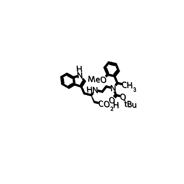 COc1ccccc1C(C)N(CCN[C@@H](CC(=O)O)Cc1c[nH]c2ccccc12)C(=O)OC(C)(C)C